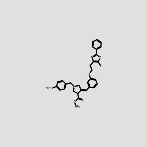 COc1ccc(CN2C/C(=C\c3cccc(OCCc4nc(-c5ccccc5)oc4C)c3)C(C(=O)OC(C)(C)C)C2)cc1